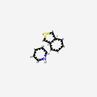 c1ccc2cscc2c1.c1ccncc1